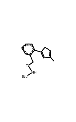 CC1=CCC(c2ccccc2[CH2][Ti][NH]C(C)(C)C)=C1